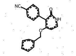 N#Cc1ccc(-c2c(OCc3ccccc3)cc[nH]c2=O)cc1